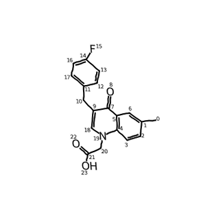 Cc1ccc2c(c1)c(=O)c(Cc1ccc(F)cc1)cn2CC(=O)O